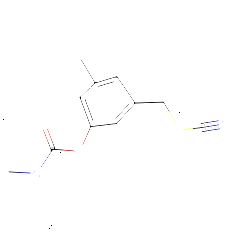 CNC(=O)Oc1cc(C)cc(CSC#N)c1